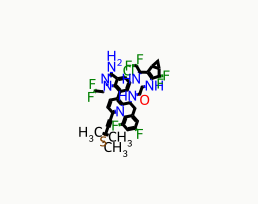 CSC(C)(C)C#Cc1ccc(-c2ccc(Cl)c3c(N)nn(CC(F)F)c23)c(C(Cc2cc(F)cc(F)c2)NC(=O)CNC2=C(C(=N)C(F)F)C3CC3C2(F)F)n1